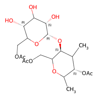 CC(=O)OCC1O[C@@H](O[C@@H]2C(COC(C)=O)OC(C)[C@@H](OC(C)=O)C2C)[C@@H](O)C(O)[C@H]1O